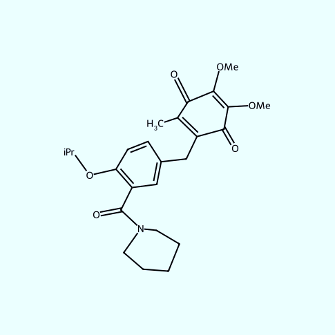 COC1=C(OC)C(=O)C(Cc2ccc(OC(C)C)c(C(=O)N3CCCCC3)c2)=C(C)C1=O